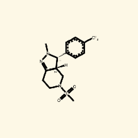 CN1N=C2CCN(S(C)(=O)=O)C[C@H]2[C@H]1c1ccc(C(F)(F)F)cc1